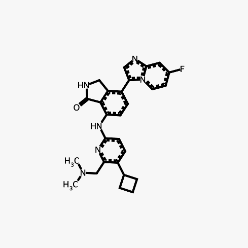 CN(C)Cc1nc(Nc2ccc(-c3cnc4cc(F)ccn34)c3c2C(=O)NC3)ccc1C1CCC1